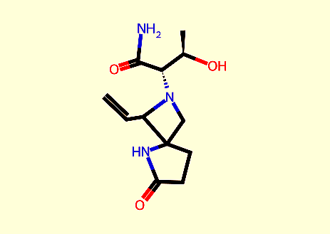 C=CC1N([C@H](C(N)=O)[C@@H](C)O)CC12CCC(=O)N2